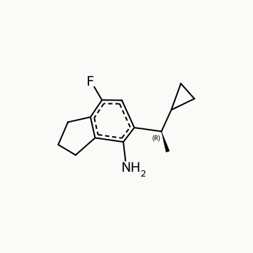 C[C@@H](c1cc(F)c2c(c1N)CCC2)C1CC1